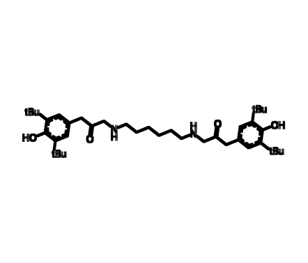 CC(C)(C)c1cc(CC(=O)CNCCCCCCNCC(=O)Cc2cc(C(C)(C)C)c(O)c(C(C)(C)C)c2)cc(C(C)(C)C)c1O